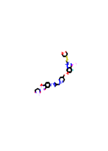 O=C1CCC(N2C(=O)c3ccc(N4CC(CN5CCC(COc6cc(F)c7c(=O)[nH]c(CSC8CCOCC8)nc7c6)CC5)C4)cc3C2=O)C(=O)N1